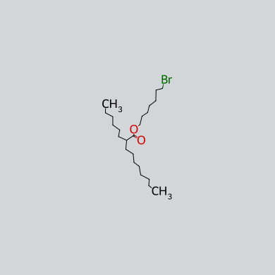 CCCCCCCCC(CCCCCC)C(=O)OCCCCCCCBr